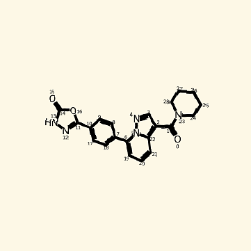 O=C(c1cnn2c(-c3ccc(-c4n[nH]c(=O)o4)cc3)cccc12)N1CCCCC1